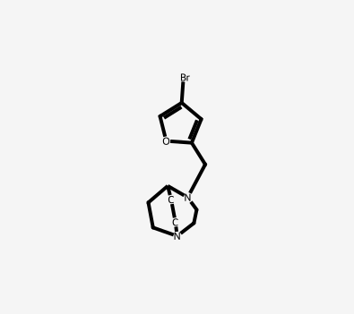 Brc1coc(CN2CCN3CCC2CC3)c1